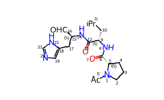 CC(=O)N1CCC[C@H]1C(=O)N[C@@H](CC(C)C)C(=O)N[C@H](C=O)Cc1cnc[nH]1